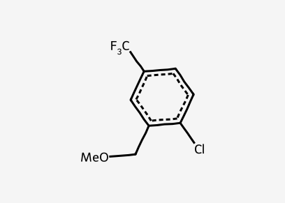 COCc1cc(C(F)(F)F)ccc1Cl